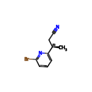 C[C@H](CC#N)c1cccc(Br)n1